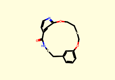 O=C1NCCc2cccc(c2)OCCCCOc2cc1ccn2